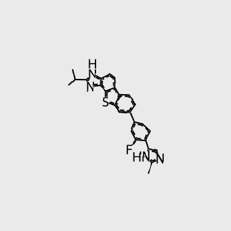 Cc1ncc(-c2ccc(-c3ccc4c(c3)sc3c4ccc4[nH]c(C(C)C)nc43)cc2F)[nH]1